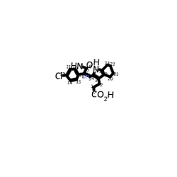 O=C(O)CCc1c(/C=C2\C(=O)Nc3cc(Cl)ccc32)[nH]c2c1CCCC2